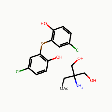 CC(=O)OCC(N)(CO)CO.Oc1ccc(Cl)cc1Sc1cc(Cl)ccc1O